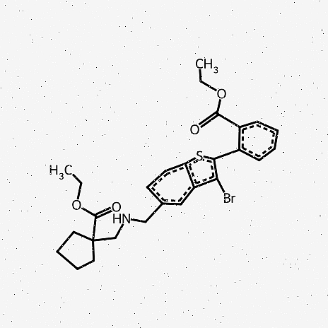 CCOC(=O)c1ccccc1-c1sc2ccc(CNCC3(C(=O)OCC)CCCC3)cc2c1Br